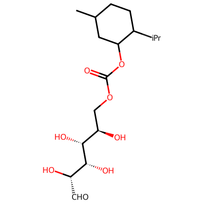 CC1CCC(C(C)C)C(OC(=O)OC[C@@H](O)[C@@H](O)[C@H](O)[C@@H](O)C=O)C1